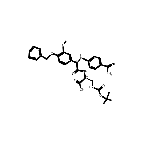 COc1cc([C@@H](Nc2ccc(C(=N)N)cc2)C(=O)N[C@@H](CNC(=O)OC(C)(C)C)C(=O)O)ccc1OCc1ccccc1